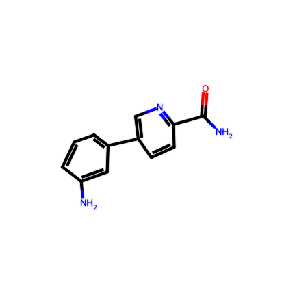 NC(=O)c1ccc(-c2cccc(N)c2)cn1